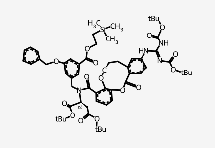 CC(C)(C)OC(=O)C[C@@H](C(=O)OC(C)(C)C)N(Cc1cc(OCc2ccccc2)cc(C(=O)OCC[Si](C)(C)C)c1)C(=O)c1cccc2c1OCCCc1cc(NC(=NC(=O)OC(C)(C)C)NC(=O)OC(C)(C)C)ccc1C(=O)O2